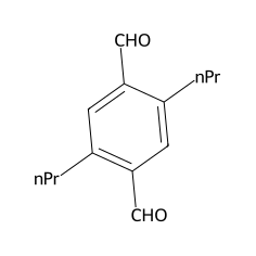 CCCc1cc(C=O)c(CCC)cc1C=O